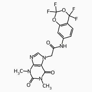 Cn1c(=O)c2c(ncn2CC(=O)Nc2ccc3c(c2)OC(F)(F)OC3(F)F)n(C)c1=O